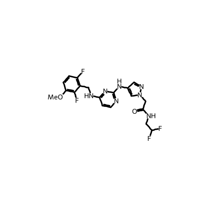 COc1ccc(F)c(CNc2ccnc(Nc3cnn(CC(=O)NCC(F)F)c3)n2)c1F